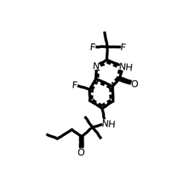 CCCC(=O)C(C)(C)Nc1cc(F)c2nc(C(C)(F)F)[nH]c(=O)c2c1